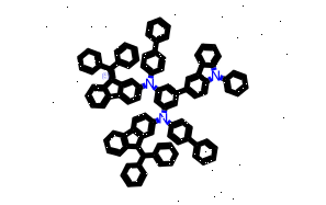 C1=CCC(C(C2=CCCC=C2)C2C3=C(CCC=C3)c3ccc(N(c4ccc(-c5ccccc5)cc4)c4cc(-c5ccc6c(c5)c5ccccc5n6-c5ccccc5)cc(N(c5ccc(-c6ccccc6)cc5)c5ccc6c(c5)/C(=C(/C5=CCCC=C5)c5ccccc5)c5ccccc5-6)c4)cc32)C=C1